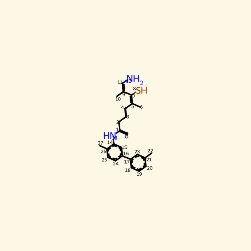 C=C(CCC/C(C)=C(S)\C(C)=C/N)Nc1cc(-c2cccc(C)c2)ccc1C